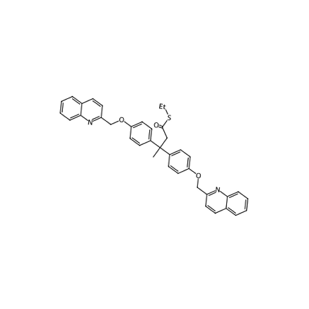 CCSC(=O)CC(C)(c1ccc(OCc2ccc3ccccc3n2)cc1)c1ccc(OCc2ccc3ccccc3n2)cc1